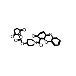 O=C(OC1CCN(C(=O)c2c3oc4ccccc4nc-3ccc2=O)CC1)ON1C(=O)CCC1=O